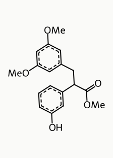 COC(=O)C(Cc1cc(OC)cc(OC)c1)c1cccc(O)c1